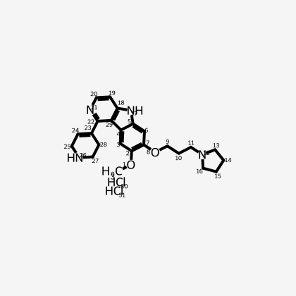 COc1cc2c(cc1OCCCN1CCCC1)[nH]c1ccnc(C3=CCNCC3)c12.Cl.Cl